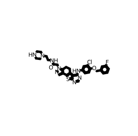 O=C(Cn1ncc2c1CCc1c-2sc2ncnc(Nc3ccc(OCc4cccc(F)c4)c(Cl)c3)c12)NCCN1CCNCC1